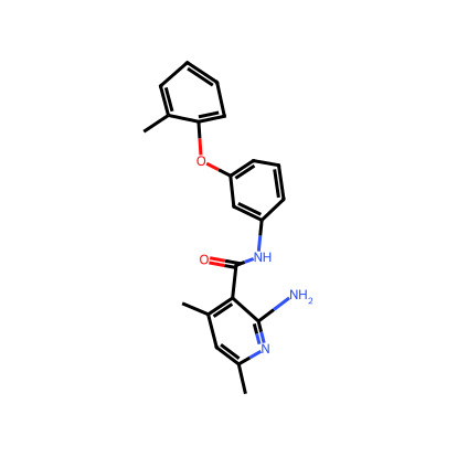 Cc1cc(C)c(C(=O)Nc2cccc(Oc3ccccc3C)c2)c(N)n1